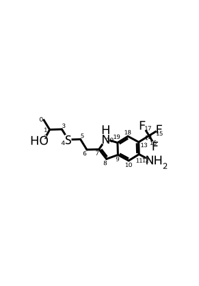 CC(O)CSCCc1cc2cc(N)c(C(F)(F)F)cc2[nH]1